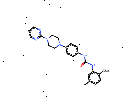 COc1ccc(C)cc1NC(=O)Nc1ccc(N2CCN(c3ncccn3)CC2)cc1